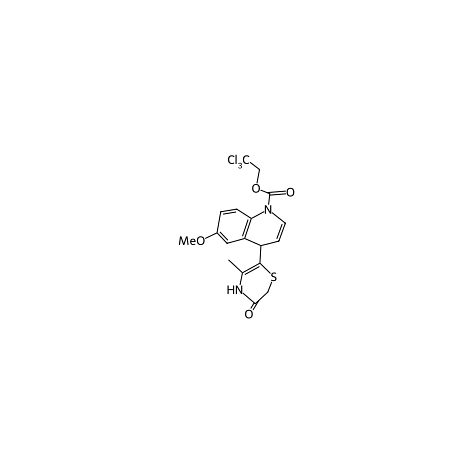 COc1ccc2c(c1)C(C1=C(C)NC(=O)CS1)C=CN2C(=O)OCC(Cl)(Cl)Cl